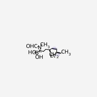 C=C(/C=C\C(=C/C)CC)CC[C@@H](B(O)O)N(C)C=O